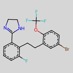 Fc1cccc(C2=NCCN2)c1CCc1cc(Br)ccc1OC(F)(F)F